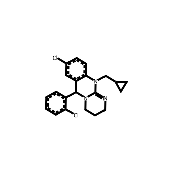 Clc1ccc2c(c1)C(c1ccccc1Cl)N1CCCN=C1N2CC1CC1